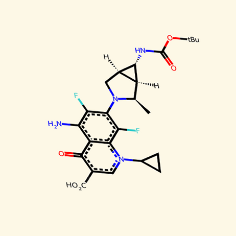 C[C@@H]1[C@H]2[C@@H](CN1c1c(F)c(N)c3c(=O)c(C(=O)O)cn(C4CC4)c3c1F)[C@@H]2NC(=O)OC(C)(C)C